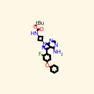 CC(C)(C)OC(=O)N[C@H]1C[C@@H](n2nc(-c3ccc(Oc4ccccc4)cc3F)c3c(N)ncnc32)C1